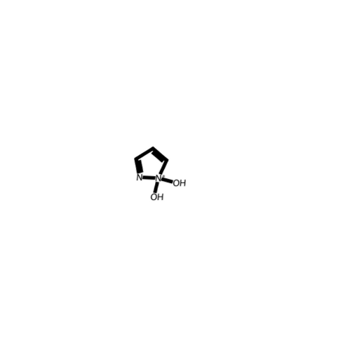 O[N+]1(O)C=CC=N1